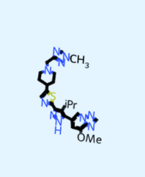 COc1cc(-c2[nH]nc(-c3ncc(C4CCN(Cc5ncn(C)n5)CC4)s3)c2C(C)C)cn2ncnc12